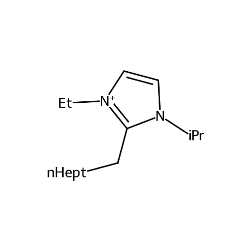 CCCCCCCCc1n(C(C)C)cc[n+]1CC